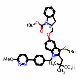 COc1ccc(-c2ccc(Cn3c(CC(C)(C)C(=O)O)c(SC(C)(C)C)c4cc(OC[C@@H]5Cc6ccccc6N5C(=O)OC(C)(C)C)ccc43)cc2)nn1